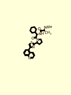 CN[C@@H](C)C(=O)N[C@H](C(=O)N1CCCC1c1nc(-c2cccc3ncccc23)cs1)C1CCCCC1